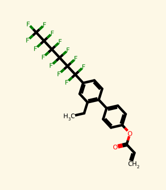 C=CC(=O)Oc1ccc(-c2ccc(C(F)(F)C(F)(F)C(F)(F)C(F)(F)C(F)(F)C(F)(F)F)cc2CC)cc1